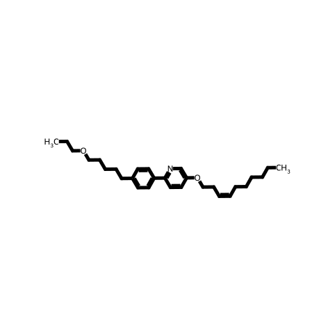 CCCCCC/C=C\CCOc1ccc(-c2ccc(CCCCCOCCC)cc2)nc1